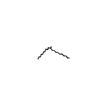 CCCCCCCCCCC(C)CCCCCCCCCC